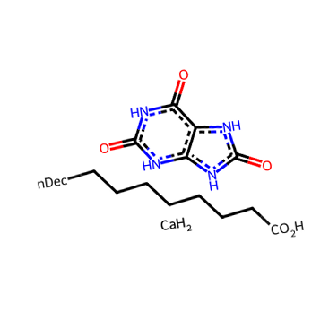 CCCCCCCCCCCCCCCCCC(=O)O.O=c1[nH]c(=O)c2[nH]c(=O)[nH]c2[nH]1.[CaH2]